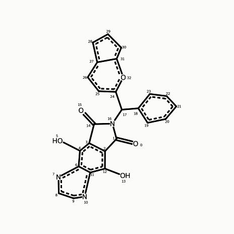 O=C1c2c(c(O)c3nccnc3c2O)C(=O)N1C(c1ccccc1)c1ccc2cccc-2o1